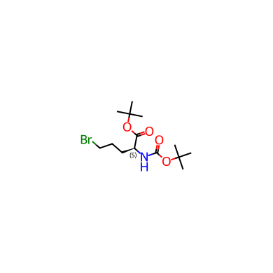 CC(C)(C)OC(=O)N[C@@H](CCCBr)C(=O)OC(C)(C)C